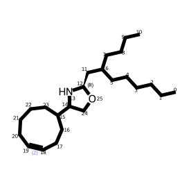 CCCCCCC(CCCC)C[C@@H]1NC(C2CC/C=C\CCCC2)CO1